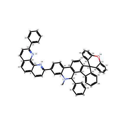 CN1c2cc(-c3ccc4ccc5ccc(-c6ccccc6)nc5c4n3)ccc2-c2ccc3c(c2C1c1ccccc1)-c1ccccc1C31c2ccccc2Oc2ccccc21